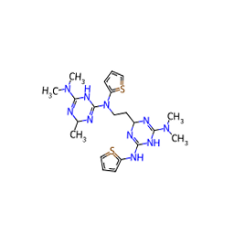 CC1N=C(N(C)C)NC(N(CCC2N=C(Nc3cccs3)NC(N(C)C)=N2)c2cccs2)=N1